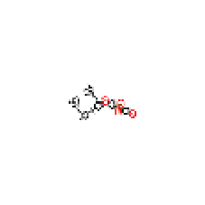 CC[Si](CC)(CC)CCCc1cc(C(C)(C)c2ccc(Oc3ccc(S(=O)(=O)c4ccc(OC)cc4)cc3)c(CCC[Si](CC)(CC)CC)c2)ccc1C